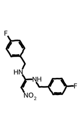 O=[N+]([O-])C=C(NCc1ccc(F)cc1)NCc1ccc(F)cc1